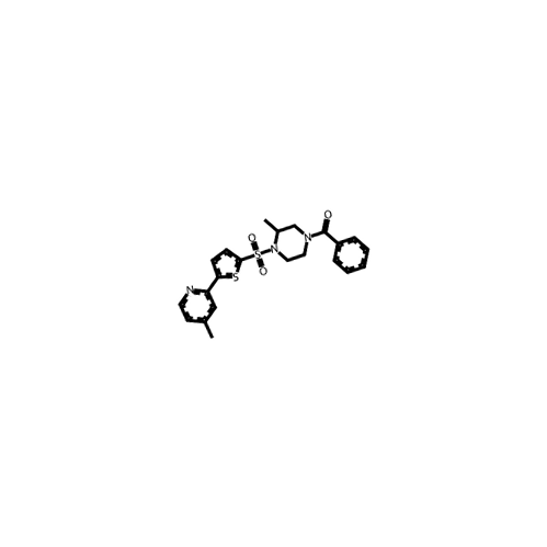 Cc1ccnc(-c2ccc(S(=O)(=O)N3CCN(C(=O)c4ccccc4)CC3C)s2)c1